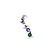 Cc1nc(SCC(=O)NC2CCN(Cc3ccc(Cl)c(Cl)c3)CC2)sc1-c1csc(N)n1